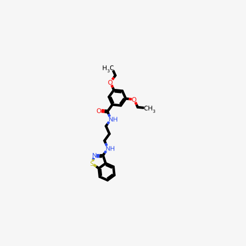 CCOc1cc(OCC)cc(C(=O)NCCCNc2nsc3ccccc23)c1